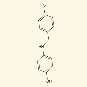 Oc1ccc(NCc2ccc(Br)cc2)cc1